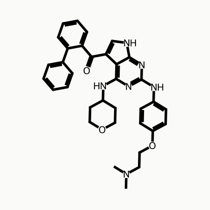 CN(C)CCOc1ccc(Nc2nc(NC3CCOCC3)c3c(C(=O)c4ccccc4-c4ccccc4)c[nH]c3n2)cc1